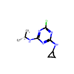 CC[C@@H](Nc1nc(Cl)nc(NC2CC2)n1)C(F)(F)F